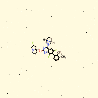 Cc1cccc(-c2c(F)cc3c(N4C[C@H]5CC[C@@H](C4)N5)nc(OC[C@@]45CCCN4C[C@H](F)C5)nc3c2F)c1C(F)(F)F